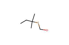 CCC(C)(C)SC[O]